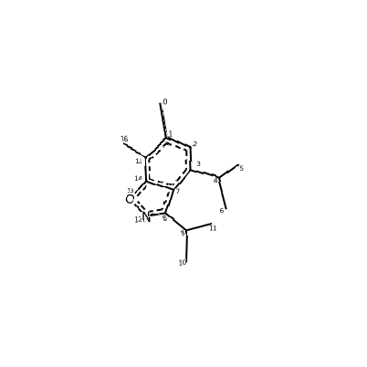 Cc1cc(C(C)C)c2c(C(C)C)noc2c1C